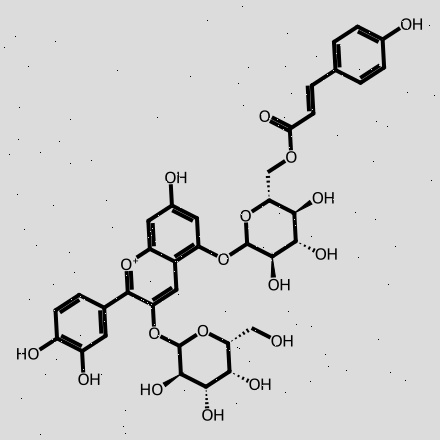 O=C(C=Cc1ccc(O)cc1)OC[C@H]1OC(Oc2cc(O)cc3[o+]c(-c4ccc(O)c(O)c4)c(OC4O[C@H](CO)[C@H](O)[C@H](O)[C@H]4O)cc23)[C@H](O)[C@@H](O)[C@@H]1O